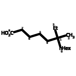 CCCCCCC(C)(CC)CCCCC(=O)O